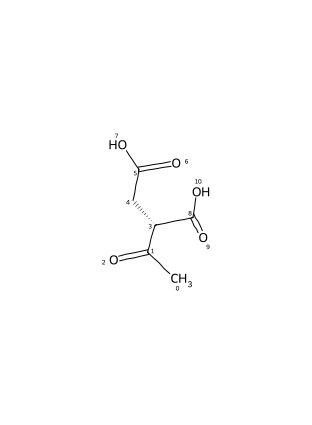 CC(=O)[C@H](CC(=O)O)C(=O)O